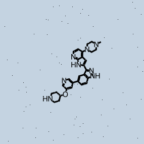 CN1CCN(c2ccnc3[nH]c(-c4n[nH]c5ccc(-c6cncc(OC7CCNCC7)c6)cc45)cc23)CC1